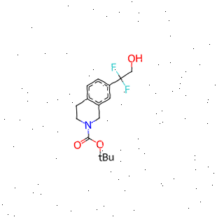 CC(C)(C)OC(=O)N1CCc2ccc(C(F)(F)CO)cc2C1